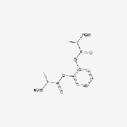 CCCCCCCCC(C)C(=O)Oc1ccccc1OC(=O)C(C)CCCCCCCC